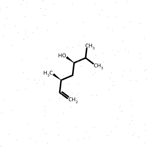 C=C[C@@H](C)C[C@@H](O)C(C)C